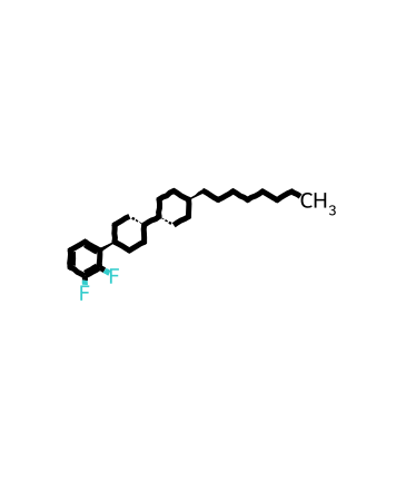 CCCCCCCC[C@H]1CC[C@H]([C@H]2CC[C@H](c3cccc(F)c3F)CC2)CC1